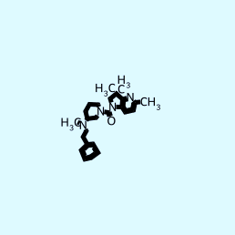 Cc1ccc2c(n1)C(C)(C)CN2C(=O)N1CCCC(N(C)CCc2ccccc2)C1